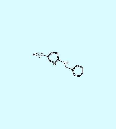 O=C(O)c1ccc(NCc2ccccc2)nc1